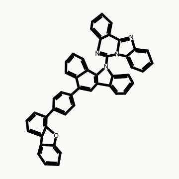 c1ccc2c(c1)nc(-n1c3ccccc3c3cc(-c4ccc(-c5cccc6c5oc5ccccc56)cc4)c4ccccc4c31)n1c3ccccc3nc21